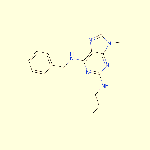 CCCNc1nc(NCc2ccccc2)c2ncn(C)c2n1